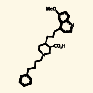 COc1ccc2nccc(CCC[C@@H]3CCN(CCCCc4ccccc4)C[C@@H]3C(=O)O)c2c1